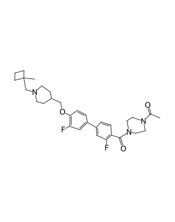 CC(=O)N1CCN(C(=O)c2ccc(-c3ccc(OCC4CCN(CC5(C)CCC5)CC4)c(F)c3)cc2F)CC1